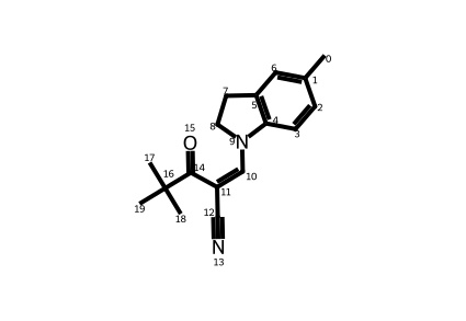 Cc1ccc2c(c1)CCN2C=C(C#N)C(=O)C(C)(C)C